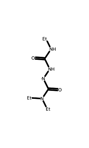 CCNC(=O)N[N]C(=O)N(CC)CC